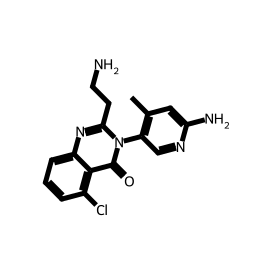 Cc1cc(N)ncc1-n1c(CCN)nc2cccc(Cl)c2c1=O